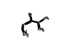 C/N=C(/C(C)C)N(C)C